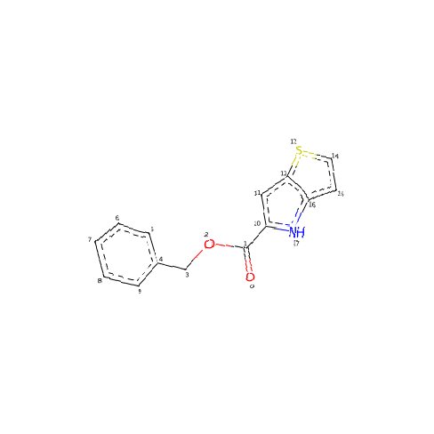 O=C(OCc1ccccc1)c1cc2sccc2[nH]1